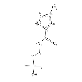 CC(C)(O)CCNC(=O)c1cc(C(F)(F)F)n[nH]1